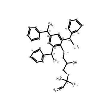 C=CC(C)(C)OCC(O)COc1c(C(C)c2ccccc2)cc(C(C)c2ccccc2)cc1C(C)c1ccccc1